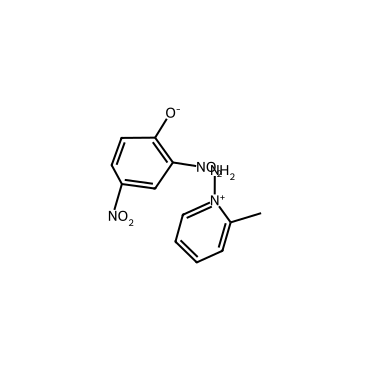 Cc1cccc[n+]1N.O=[N+]([O-])c1ccc([O-])c([N+](=O)[O-])c1